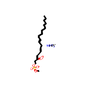 CCCCCCCCCCCCCCCC(=O)CCOS(=O)(=O)OC.N.[H+].[H+]